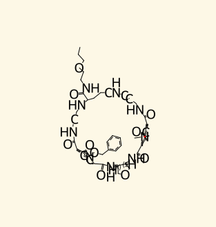 CCCOCCNC(=O)C1CCCNCCCNC(=O)c2ccc(n(C)c2=O)C(=O)N[C@@H]2COC[C@@H]2NC(=O)c2ccc(c(=O)n2OCc2ccccc2)C(=O)NCCCN1